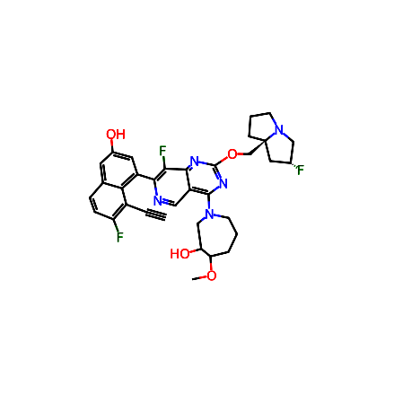 C#Cc1c(F)ccc2cc(O)cc(-c3ncc4c(N5CCCC(OC)C(O)C5)nc(OC[C@@]56CCCN5C[C@H](F)C6)nc4c3F)c12